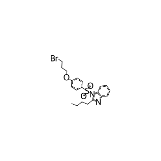 CCCCc1nc2ccccc2n1S(=O)(=O)c1ccc(OCCCBr)cc1